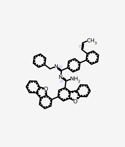 C/C=C\c1ccccc1-c1ccc(C(=N/Cc2ccccc2)/N=C(\N)c2cc(-c3cccc4c3oc3ccccc34)cc3oc4ccccc4c23)cc1